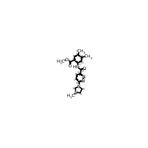 COC(=O)c1cc(C)c(C)cc1NC(=O)c1ccc(N2CCN(C)C2)nn1